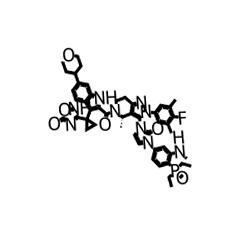 CCP(=O)(CC)c1ccc(-n2ccn(-c3c4c(nn3-c3cc(C)c(F)c(C)c3)CCN(C(=O)c3[nH]c5cc(C6CCOCC6)ccc5c3C3(c5nc(=O)o[nH]5)CC3)[C@H]4C)c2=O)cc1NC